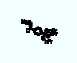 CCCO[Si](OCCC)(OCCC)c1ccc(C(=O)N=[N+]=[N-])cc1